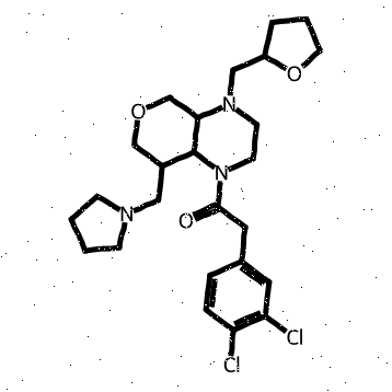 O=C(Cc1ccc(Cl)c(Cl)c1)N1CCN(CC2CCCO2)C2COCC(CN3CCCC3)C21